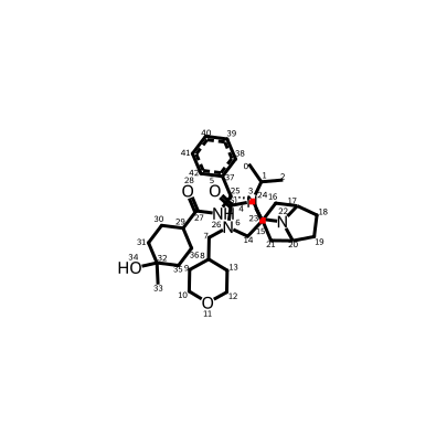 CC(C)N1C(=O)N(CC2CCOCC2)CC12CC1CCC(C2)N1CC[C@H](NC(=O)C1CCC(C)(O)CC1)c1ccccc1